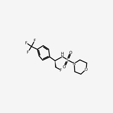 O=S(=O)(N[C@@H](CF)c1ccc(C(F)(F)F)cc1)N1CCOCC1